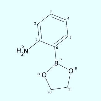 Nc1ccccc1B1OCCO1